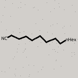 CCCCCCCCCCCCC[CH]C#N